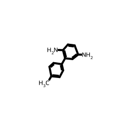 Cc1ccc(-c2cc(N)ccc2N)cc1